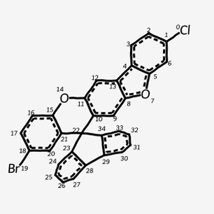 Clc1ccc2c(c1)oc1cc3c(cc12)Oc1ccc(Br)cc1C31c2ccccc2-c2ccccc21